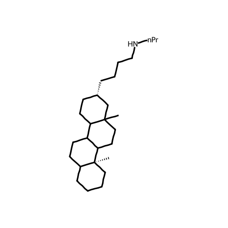 CCCNCCCC[C@H]1CCC2C3CCC4CCCC[C@]4(C)C3CCC2(C)C1